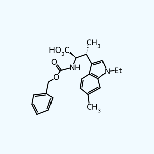 CCn1cc([C@@H](C)[C@@H](NC(=O)OCc2ccccc2)C(=O)O)c2ccc(C)cc21